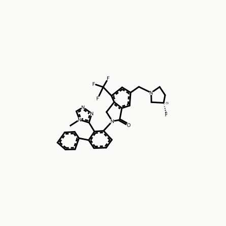 Cn1cnnc1-c1c(-c2ccccc2)cccc1N1Cc2c(cc(CN3CC[C@H](F)C3)cc2C(F)(F)F)C1=O